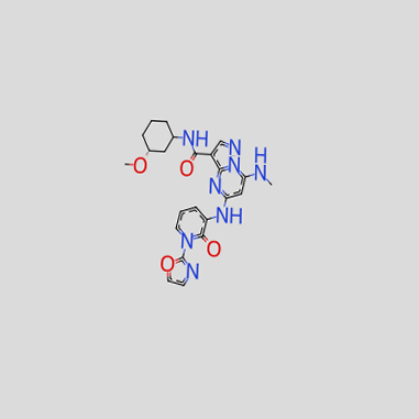 CNc1cc(Nc2cccn(-c3ncco3)c2=O)nc2c(C(=O)NC3CCC[C@@H](OC)C3)cnn12